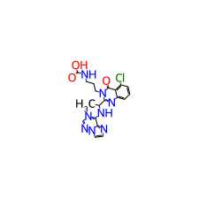 CC(Nc1ncnn2ccnc12)c1nc2cccc(Cl)c2c(=O)n1CCCNC(=O)O